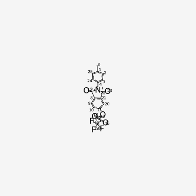 Cc1ccc([N+]2C(=O)c3ccc(OS(=O)(=O)C(F)(F)F)cc3C2=O)cc1